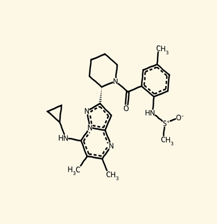 Cc1ccc(N[S+](C)[O-])c(C(=O)N2CCCC[C@H]2c2cc3nc(C)c(C)c(NC4CC4)n3n2)c1